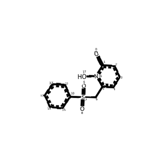 O=c1cccc(CS(=O)(=O)c2ccccc2)n1O